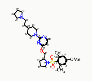 COc1cc(C)c(S(=O)(=O)N2CCC[C@H]2COc2ccnc(N3CCC(CCN4CCCC4)CC3)n2)c(C)c1